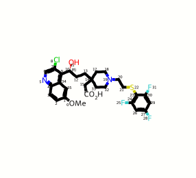 COc1ccc2ncc(Cl)c([C@H](O)CCC3(CC(=O)O)CCN(CCSc4c(F)cc(F)cc4F)CC3)c2c1